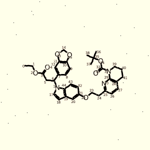 CCOC(=O)CC(c1ccc2c(c1)OCO2)n1ccc2cc(OCCc3ccc4c(n3)N(C(=O)OC(C)(C)C)CCC4)ccc21